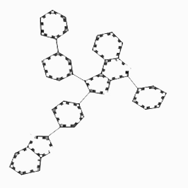 c1ccc(-c2cccc(-c3c(-c4ccc(-c5nc6ccccc6o5)cc4)oc4c(-c5ccccc5)nc5ccccc5c34)c2)cc1